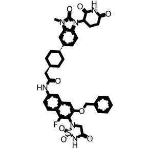 Cn1c(=O)n(C2CCC(=O)NC2=O)c2ccc([C@H]3CC[C@H](CC(=O)Nc4ccc5c(F)c(N6CC(=O)NS6(=O)=O)c(OCc6ccccc6)cc5c4)CC3)cc21